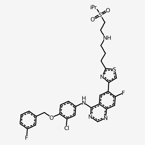 CC(C)S(=O)(=O)CCNCCCc1nc(-c2cc3c(Nc4ccc(OCc5cccc(F)c5)c(Cl)c4)ncnc3cc2F)cs1